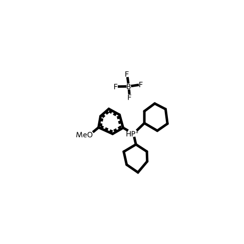 COc1cccc([PH+](C2CCCCC2)C2CCCCC2)c1.F[B-](F)(F)F